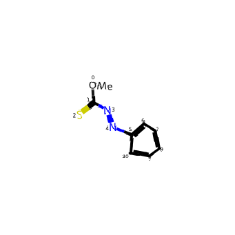 COC(=S)N=Nc1ccccc1